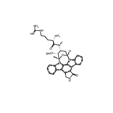 CO[C@@H]1[C@H](N(C)C(=O)[C@@H](N)CCCNC(=N)N)C[C@H]2O[C@]1(C)n1c3ccccc3c3c4c(c5c6ccccc6n2c5c31)C(=O)NC4